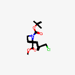 C=C(CCl)CC1(C(=O)OC)CCN1C(=O)OC(C)(C)C